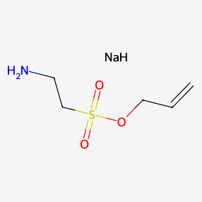 C=CCOS(=O)(=O)CCN.[NaH]